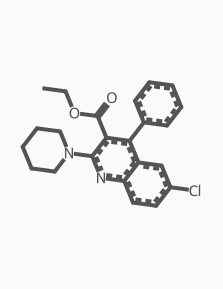 CCOC(=O)c1c(N2CCCCC2)nc2ccc(Cl)cc2c1-c1ccccc1